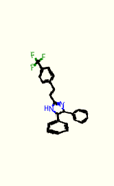 FC(F)(F)c1ccc(CCC2=NC(c3ccccc3)C(c3ccccc3)N2)cc1